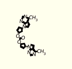 Cc1ncnc2c1ccn2[C@H]1C=C[C@@H](OC(=O)O[C@@H]2C=C[C@H](n3ccc4c(C)ncnc43)C2)C1